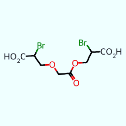 O=C(COCC(Br)C(=O)O)OCC(Br)C(=O)O